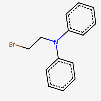 BrCCN(c1ccccc1)c1ccccc1